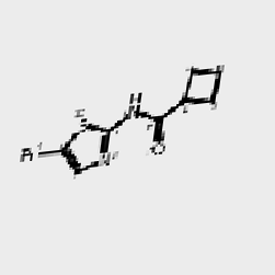 CC(C)c1cnc(NC(=O)C2CCC2)s1